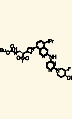 CC(C)c1ccc(N2CC([C@@H](CNC(=O)OC(C)(C)C)S(C)(=O)=O)C2)c2cnc(Nc3ccnc(N4CC[C@@H](O)[C@@H](F)C4)n3)cc12